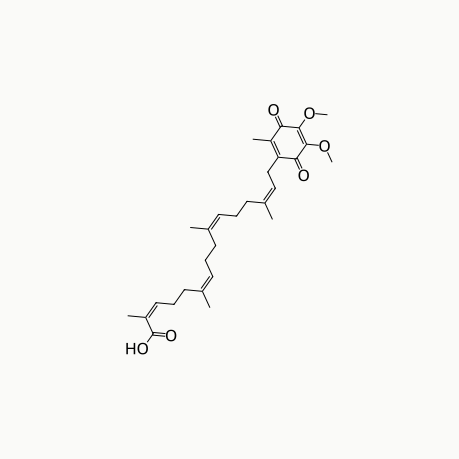 COC1=C(OC)C(=O)C(CC=C(C)CCC=C(C)CCC=C(C)CCC=C(C)C(=O)O)=C(C)C1=O